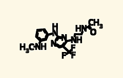 CNc1cccc(Nc2ncc(C(F)(F)F)c(NCCNC(C)=O)n2)c1